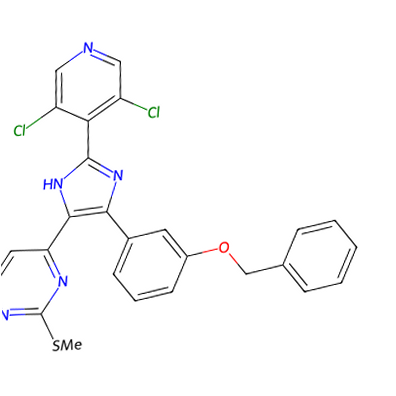 CSc1nccc(-c2[nH]c(-c3c(Cl)cncc3Cl)nc2-c2cccc(OCc3ccccc3)c2)n1